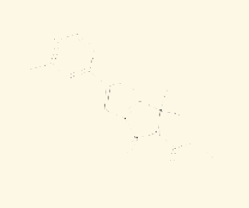 CC(C)(C)OC(=O)N1C(=O)c2cc(-c3ccnc(Cl)c3)sc2C1(C)C